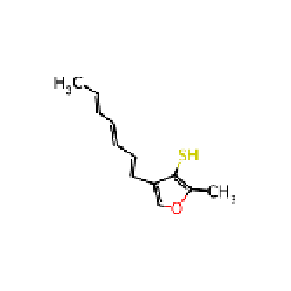 CC=CC=CC=Cc1coc(C)c1S